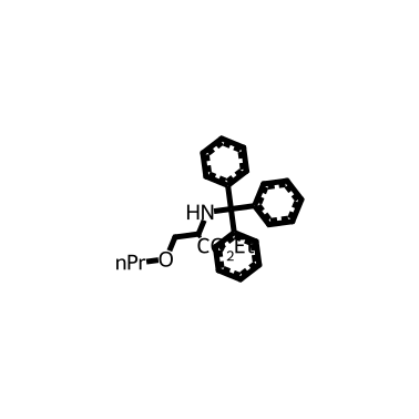 CCCOC[C@H](NC(c1ccccc1)(c1ccccc1)c1ccccc1)C(=O)OCC